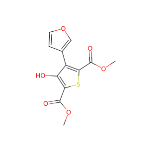 COC(=O)c1sc(C(=O)OC)c(-c2ccoc2)c1O